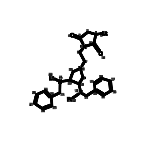 CCC1CC(=O)N(CCN2CC(N(CC)Cc3ccccc3)C(N(CC)Cc3ccccc3)C2)C1=O